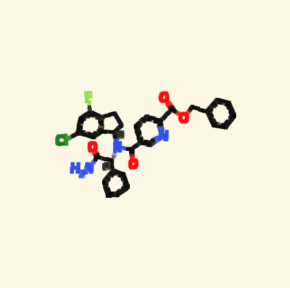 NC(=O)[C@@H](c1ccccc1)N(C(=O)c1ccc(C(=O)OCc2ccccc2)nc1)[C@@H]1CCc2c(F)cc(Cl)cc21